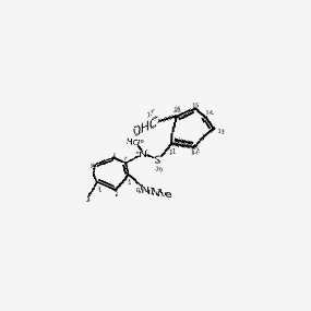 CNc1cc(C)ccc1N(O)Sc1ccccc1C=O